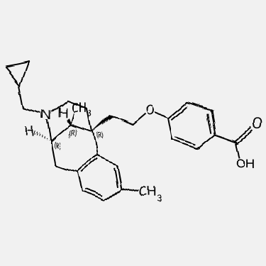 Cc1ccc2c(c1)[C@@]1(CCOc3ccc(C(=O)O)cc3)CCN(CC3CC3)[C@H](C2)[C@@H]1C